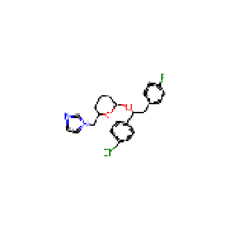 Fc1ccc(CC(OC2CCCC(Cn3ccnc3)O2)c2ccc(Cl)cc2)cc1